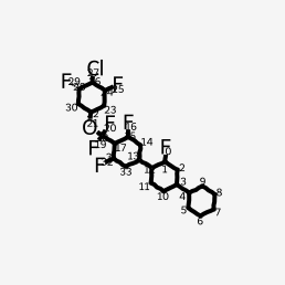 FC1CC(C2CCCCC2)CCC1C1CC(F)C(C(F)(F)OC2CC(F)C(Cl)[C@@H](F)C2)C(F)C1